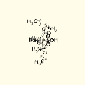 CCCCC(N)OC(=O)CC(C(=O)OC(N)CCCC)S(=O)(=O)O.[NaH].[NaH]